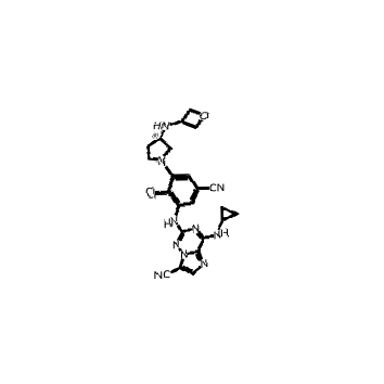 N#Cc1cc(Nc2nc(NC3CC3)c3ncc(C#N)n3n2)c(Cl)c(N2CC[C@@H](NC3COC3)C2)c1